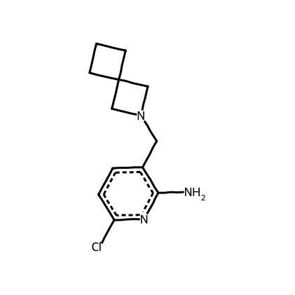 Nc1nc(Cl)ccc1CN1CC2(CCC2)C1